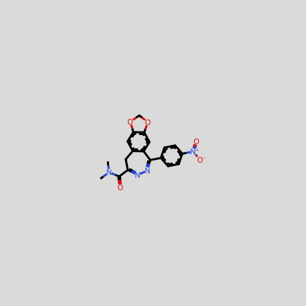 CN(C)C(=O)C1=NN=C(c2ccc([N+](=O)[O-])cc2)c2cc3c(cc2C1)OCO3